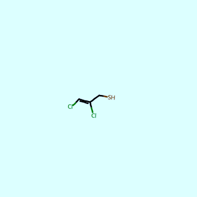 SCC(Cl)=CCl